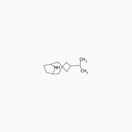 CC(C)C1CC2(CC3CCC(C2)N3)C1